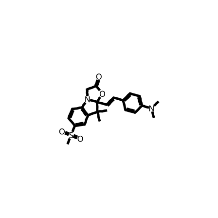 CN(C)c1ccc(C=CC23OC(=O)CN2c2ccc(S(C)(=O)=O)cc2C3(C)C)cc1